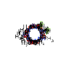 CCCOC[C@H]1C(=O)N[C@@H]([C@@H](C)CC)C(=O)N(C)CC(=O)N(C)[C@H]2C/C=C\CCN(C2=O)[C@@H](Cc2ccc(C(F)(F)F)cc2)C(=O)N(C)CC(=O)N[C@@H](CCc2cc(F)c(C(F)(F)F)c(F)c2)C(=O)N2C[C@H](OCC)C[C@H]2C(=O)NC2(CCC2)C(=O)N(C)[C@@H](C2CCCC2)C(=O)N(C)[C@H](C(=O)N(C)C)CC(=O)N1C